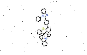 c1ccc(-n2c(-c3ccc(-c4cccc5c4Sc4ccccc4C54c5ccccc5-n5c6ccccc6c6cccc4c65)cc3)nc3ccccc32)cc1